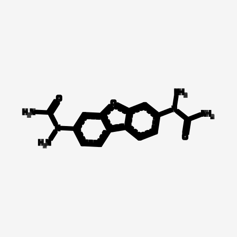 NC(=O)N(N)c1ccc2c(c1)oc1cc(N(N)C(N)=O)ccc12